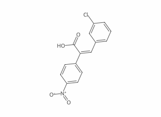 O=C(O)C(=Cc1cccc(Cl)c1)c1ccc([N+](=O)[O-])cc1